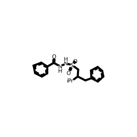 CC(C)C(Cc1ccccc1)CS(=O)(=O)NNC(=O)c1ccccc1